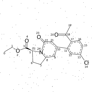 CCOC(=O)[C@@H]1CCc2cc(-c3cc(Cl)ccc3C(C)=O)cc(=O)n21